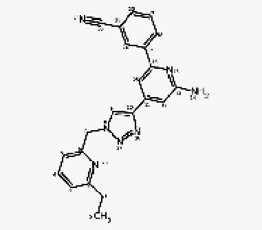 CCc1cccc(Cn2cc(-c3cc(N)nc(-c4cccc(C#N)c4)c3)nn2)n1